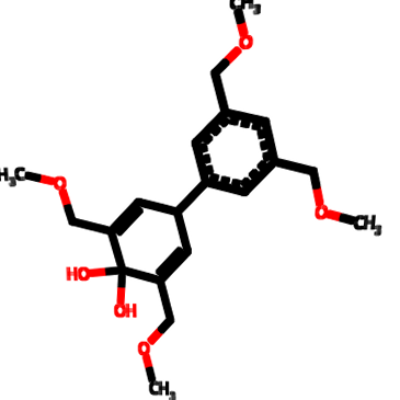 COCC1=CC(c2cc(COC)cc(COC)c2)C=C(COC)C1(O)O